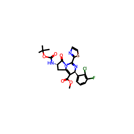 COC(=O)C1=C2C[C@H](NC(=O)OC(C)(C)C)C(=O)N2C(c2nccs2)=N[C@H]1c1cccc(F)c1Cl